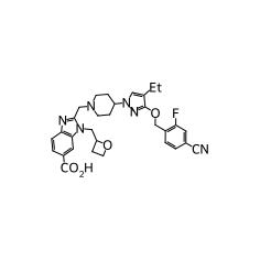 CCc1cn(C2CCN(Cc3nc4ccc(C(=O)O)cc4n3CC3CCO3)CC2)nc1OCc1ccc(C#N)cc1F